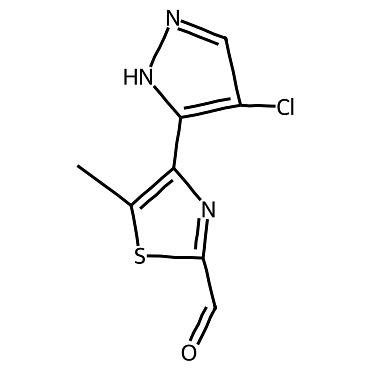 Cc1sc(C=O)nc1-c1[nH]ncc1Cl